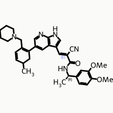 COc1ccc([C@@H](C)NC(=O)/C(C#N)=C/c2c[nH]c3ncc(C4=C(CN5CCCCC5)C=CC(C)C4)cc23)cc1OC